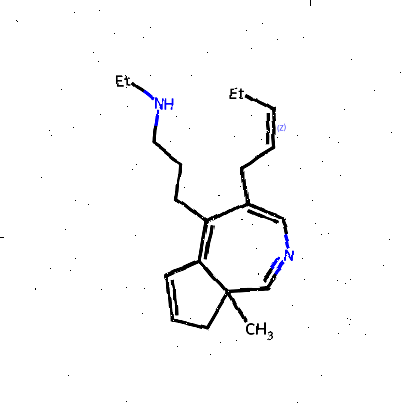 CC/C=C\CC1=CN=CC2(C)CC=CC2=C1CCCNCC